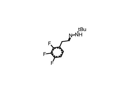 CC(C)(C)NN=CCc1ccc(F)c(F)c1F